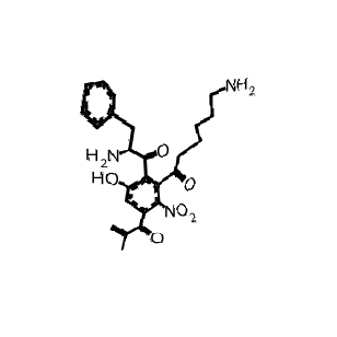 C=C(C)C(=O)c1cc(O)c(C(=O)[C@@H](N)Cc2ccccc2)c(C(=O)CCCCCN)c1[N+](=O)[O-]